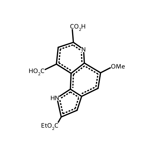 CCOC(=O)c1cc2cc(OC)c3nc(C(=O)O)cc(C(=O)O)c3c2[nH]1